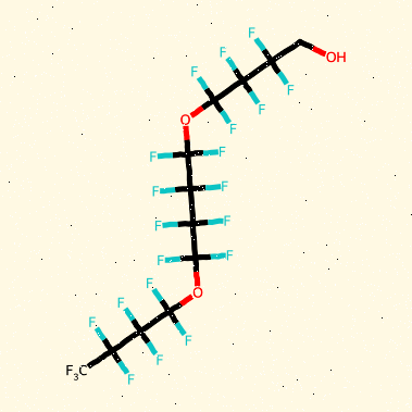 OCC(F)(F)C(F)(F)C(F)(F)OC(F)(F)C(F)(F)C(F)(F)C(F)(F)OC(F)(F)C(F)(F)C(F)(F)C(F)(F)F